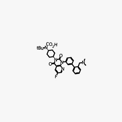 CN(C)Cc1ccccc1-c1cccc(-n2c(=O)n([C@H]3CC[C@@H](N(C(=O)O)C(C)(C)C)CC3)c(=O)c3cc(F)cnc32)c1